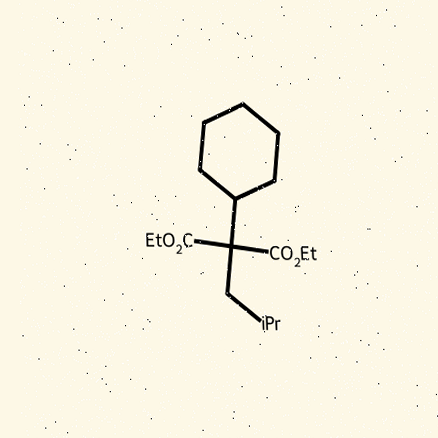 CCOC(=O)C(CC(C)C)(C(=O)OCC)C1CCCCC1